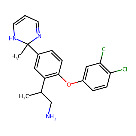 CC(CN)c1cc(C2(C)N=CC=CN2)ccc1Oc1ccc(Cl)c(Cl)c1